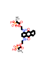 CC(C(=O)OCCNc1ccc(NCCOC(=O)C(C)P(=O)(O)O)c2c1C(=O)c1ccccc1C2=O)P(=O)(O)O